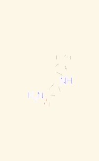 CCCCc1ccc(Nc2ccc(C(N)=O)cc2)cc1